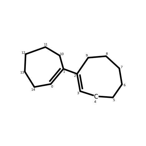 C1=C(C2=CCCCCCC2)CCCCC1